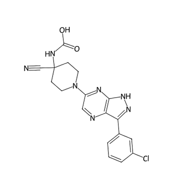 N#CC1(NC(=O)O)CCN(c2cnc3c(-c4cccc(Cl)c4)n[nH]c3n2)CC1